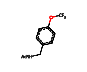 CC(=O)NCc1ccc(OC(F)(F)F)cc1